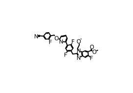 COCCn1c(Cc2cc(F)c(-c3cccc(OCc4ccc(C#N)cc4F)n3)cc2F)nc2cc(F)c(C(=O)OC)cc21